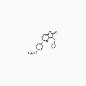 O=c1oc2ccc(-c3ccc(OC(F)(F)F)cc3)nc2n1CC1CCC1